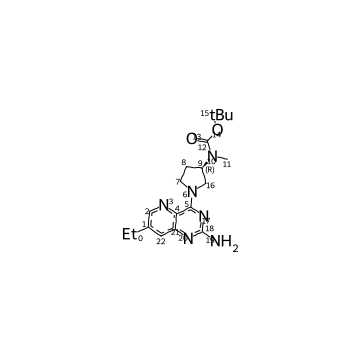 CCc1cnc2c(N3CC[C@@H](N(C)C(=O)OC(C)(C)C)C3)nc(N)nc2c1